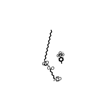 CCCCCCCCCCCCCCCCC[C@@H]1OC[C@@H](COC(=O)CCCCC[N+]2(C)CCOCC2)O1.Cc1ccc(S(=O)(=O)[O-])cc1